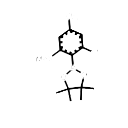 CSc1cc(C(F)(F)F)cc(Cl)c1B1OC(C)(C)C(C)(C)O1